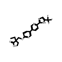 CCC(CC)(COc1ccc(-c2ccc(-c3ncc(C(F)(F)F)[nH]3)nc2)cn1)C(=O)O